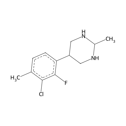 Cc1ccc(C2CNC(C)NC2)c(F)c1Cl